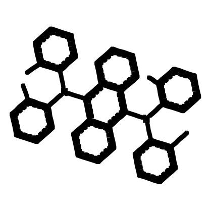 Cc1ccccc1N(c1ccccc1C)c1c2ccccc2c(N(c2ccccc2C)c2ccccc2C)c2ccccc12